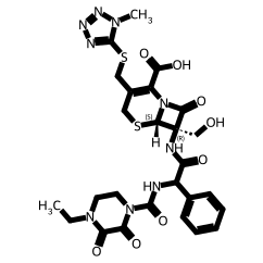 CCN1CCN(C(=O)NC(C(=O)N[C@]2(CO)C(=O)N3C(C(=O)O)=C(CSc4nnnn4C)CS[C@H]32)c2ccccc2)C(=O)C1=O